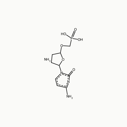 N.Nc1ccn(C2CCC(OCP(=O)(O)O)O2)c(=O)n1